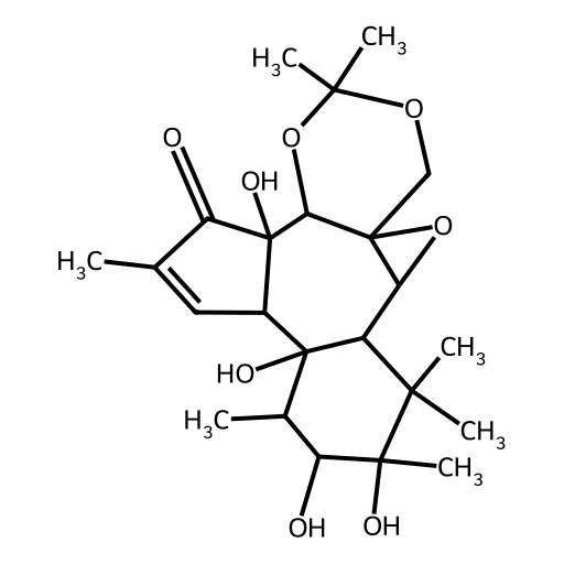 CC1=CC2C(O)(C1=O)C1OC(C)(C)OCC13OC3C1C2(O)C(C)C(O)C(C)(O)C1(C)C